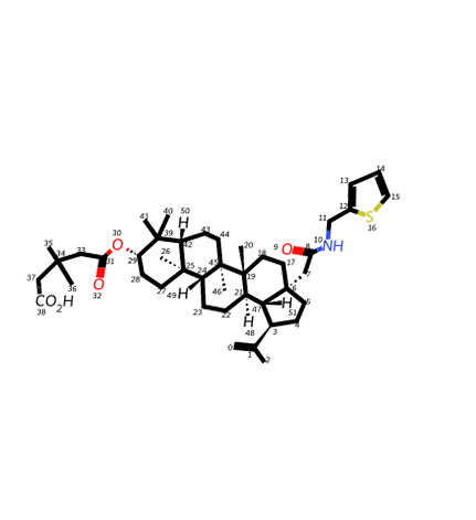 C=C(C)[C@@H]1CC[C@]2(CC(=O)NCc3cccs3)CC[C@]3(C)[C@H](CC[C@@H]4[C@@]5(C)CC[C@H](OC(=O)CC(C)(C)CC(=O)O)C(C)(C)[C@@H]5CC[C@]43C)[C@@H]12